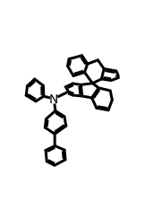 C1=CC2=C(CC1)C1(c3ccccc3Cc3ccccc31)c1ccc(N(c3ccccc3)c3ccc(-c4ccccc4)cc3)cc12